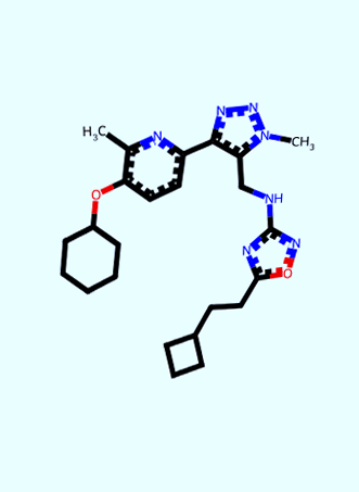 Cc1nc(-c2nnn(C)c2CNc2noc(CCC3CCC3)n2)ccc1OC1CCCCC1